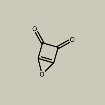 O=c1c2c(c1=O)O2